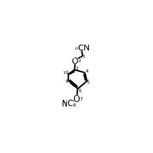 N#CCOc1ccc(OC#N)cc1